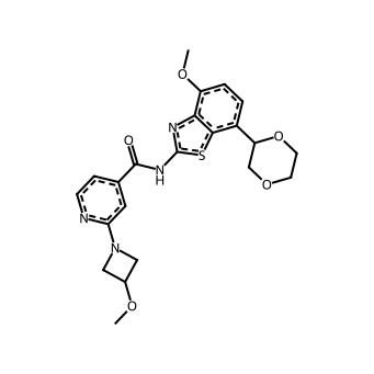 COc1ccc(C2COCCO2)c2sc(NC(=O)c3ccnc(N4CC(OC)C4)c3)nc12